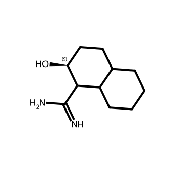 N=C(N)C1C2CCCCC2CC[C@@H]1O